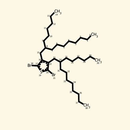 CCCCCCCCC(CCCCCC)Cc1c(Br)sc(Br)c1CC(CCCCCC)CCCCCCCC